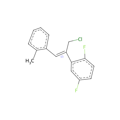 Cc1ccccc1/C=C(\CCl)c1cc(F)ccc1F